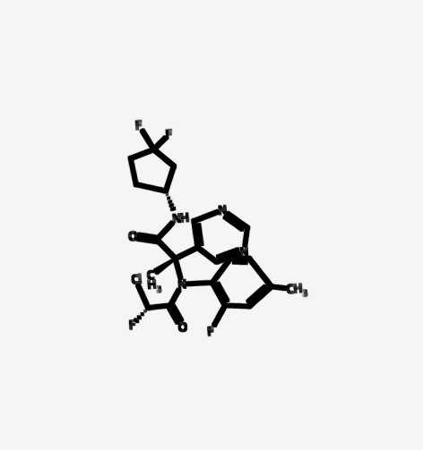 Cc1ccc(N(C(=O)[C@H](F)Cl)[C@](C)(C(=O)N[C@@H]2CCC(F)(F)C2)c2cncnc2)c(F)c1